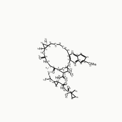 CC[C@@H]1[C@@H]2CN(C(=O)[C@H](C)NC(=O)O[C@@H]3C[C@H]3CCCCCc3nc4ccc(OC)cc4nc3O2)[C@@H]1C(=O)N[C@]1(C(=O)NS(=O)(=O)C2(C)CC2)C[C@H]1C(F)F